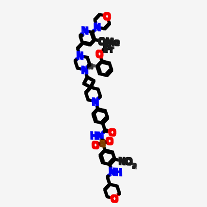 COc1cc(CN2CCN(C3CC4(CCN(c5ccc(C(=O)NS(=O)(=O)c6ccc(NCC7CCOCC7)c([N+](=O)[O-])c6)cc5)CC4)C3)[C@@H](c3ccccc3OC(C)C)C2)cnc1N1CCOCC1